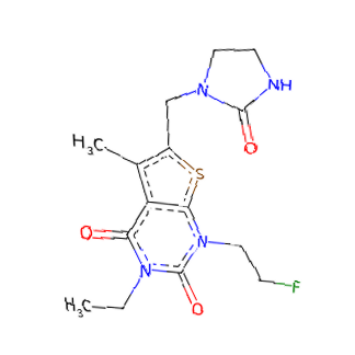 CCn1c(=O)c2c(C)c(CN3CCNC3=O)sc2n(CCF)c1=O